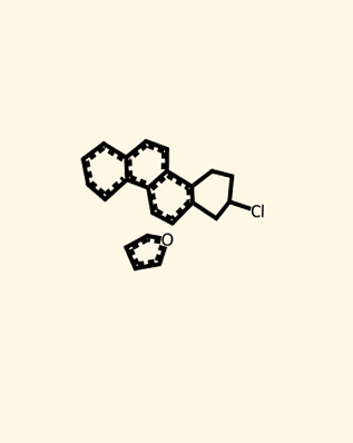 ClC1CCc2c(ccc3c2ccc2ccccc23)C1.c1ccoc1